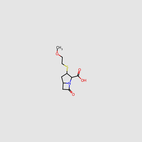 COCCSC1CC2CC(=O)N2C1C(=O)O